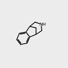 [c]1ccc2c(c1)C1CNCC2C1